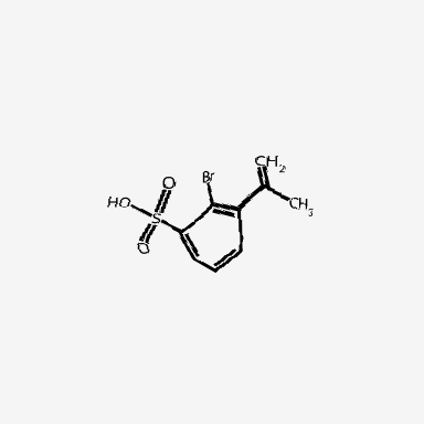 C=C(C)c1cccc(S(=O)(=O)O)c1Br